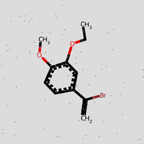 C=C(Br)c1ccc(OC)c(OCC)c1